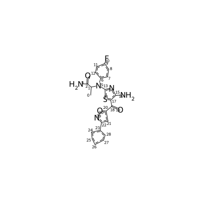 CC(C(N)=O)N(c1ccc(F)cc1)c1nc(N)c(C(=O)c2cc(-c3ccccc3)no2)s1